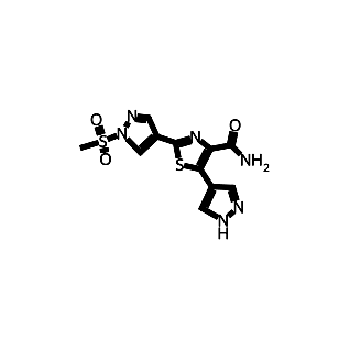 CS(=O)(=O)n1cc(-c2nc(C(N)=O)c(-c3cn[nH]c3)s2)cn1